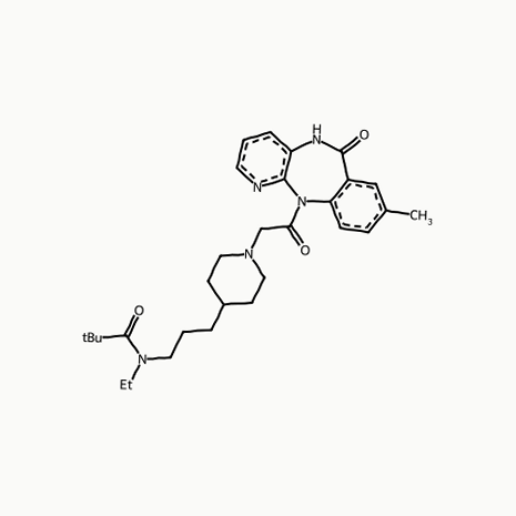 CCN(CCCC1CCN(CC(=O)N2c3ccc(C)cc3C(=O)Nc3cccnc32)CC1)C(=O)C(C)(C)C